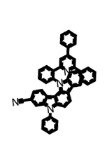 N#Cc1ccc2c3c(ccc4c5ccccc5n(-c5ccccc5-c5cc(-c6ccccc6)cc(-c6ccccc6)n5)c43)n(-c3ccccc3)c2c1